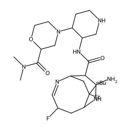 CCCCC1(CC)CC2/N=C\C(F)CC1NC(N)C2C(=O)NC1CNCCC1N1CCOC(C(=O)N(C)C)C1